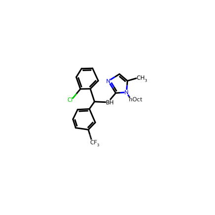 CCCCCCCCn1c(C)cnc1BC(c1cccc(C(F)(F)F)c1)c1ccccc1Cl